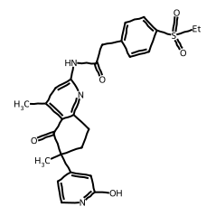 CCS(=O)(=O)c1ccc(CC(=O)Nc2cc(C)c3c(n2)CCC(C)(c2ccnc(O)c2)C3=O)cc1